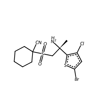 C[C@](N)(CS(=O)(=O)C1(C#N)CCCCC1)c1sc(Br)cc1Cl